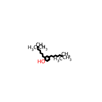 CC(C)(C)CCCCCc1ccc(O)c(CCCCCC(C)(C)C)c1